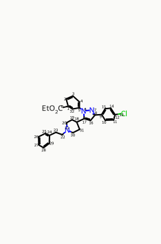 CCOC(=O)c1cccc(-n2nc(-c3ccc(Cl)cc3)cc2C2CCN(CCc3ccccc3)CC2)c1